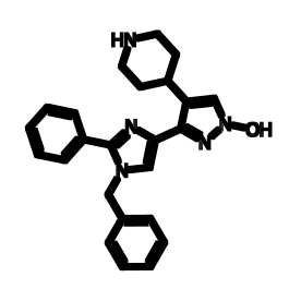 On1cc(C2CCNCC2)c(-c2cn(Cc3ccccc3)c(-c3ccccc3)n2)n1